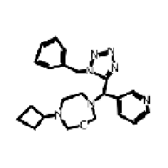 c1ccc(Cn2nnnc2C(c2cccnc2)N2CCCN(C3CCC3)CC2)cc1